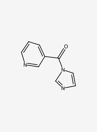 O=C(c1cccnc1)n1ccnc1